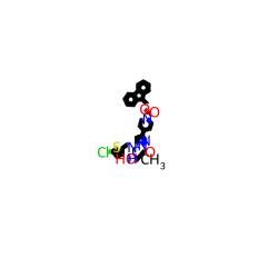 CC(C)(CO)C(=O)n1nc(C2CCN(C(=O)OCC3c4ccccc4-c4ccccc43)CC2)cc1NCc1ccc(Cl)s1